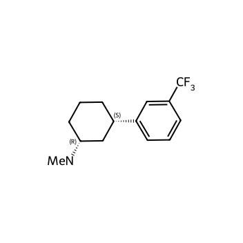 CN[C@@H]1CCC[C@H](c2cccc(C(F)(F)F)c2)C1